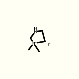 C[N+]1(C)CCNC1.[I-]